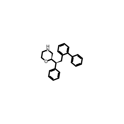 c1ccc(-c2ccccc2C[C@@H](c2ccccc2)[C@@H]2CNCCO2)cc1